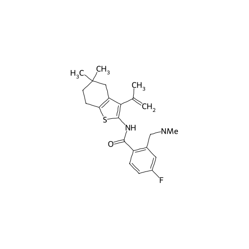 C=C(C)c1c(NC(=O)c2ccc(F)cc2CNC)sc2c1CC(C)(C)CC2